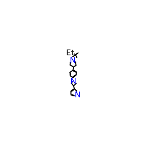 CCC(C)(C)CN1CCC(c2ccc(N3CC(c4cccnc4)C3)cc2)CC1